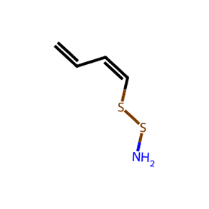 C=C/C=C\SSN